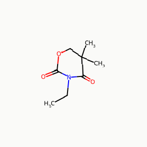 CCN1C(=O)OCC(C)(C)C1=O